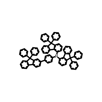 c1ccc(C2(c3ccccc3)c3ccccc3-c3ccc(-c4ccc(N(c5cccc6c5-c5ccccc5C6(c5ccccc5)c5ccccc5)c5cccc6c5-c5ccccc5C6(c5ccccc5)c5ccccc5)cc4)cc32)cc1